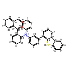 c1ccc(N(c2cccc(-c3cccc4c3sc3ccccc34)c2)c2ccccc2-c2cccc3ccccc23)cc1